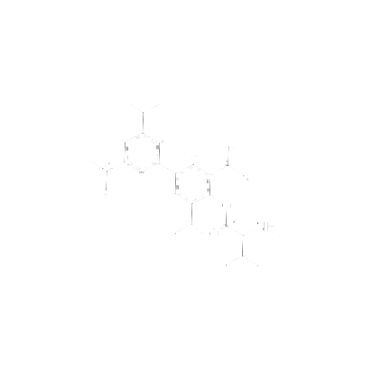 CC(C)c1cc(-c2cc(C(C)C)c(OC(=O)C(N)C(C)C)c(C(C)C)c2)cc(C(C)C)c1